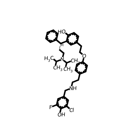 CC(C)N(CC[C@H](c1ccccc1)c1cc(CCOc2ccc(CCNCc3cc(F)c(O)c(Cl)c3)cc2)ccc1O)C(C)C